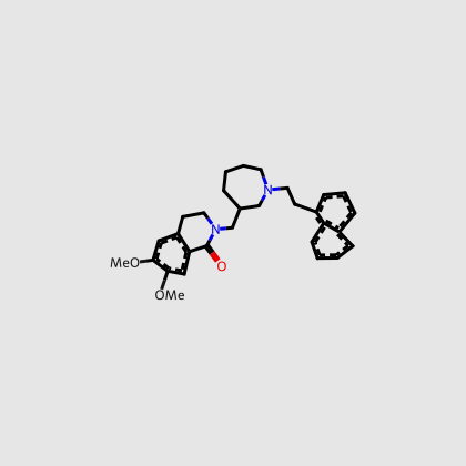 COc1cc2c(cc1OC)C(=O)N(CC1CCCCN(CCc3cccc4ccccc34)C1)CC2